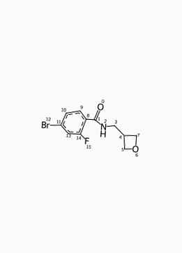 O=C(NCC1COC1)c1ccc(Br)cc1F